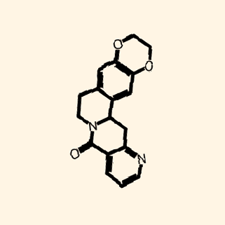 O=C1c2cccnc2CC2c3cc4c(cc3CCN12)OCCO4